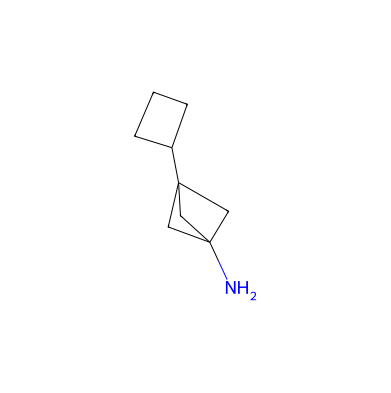 NC12CC(C3CCC3)(C1)C2